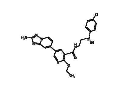 CCOc1ncc(-c2ccn3nc(N)nc3c2)cc1C(=O)NCC[C@@H](O)c1ccc(Cl)cc1